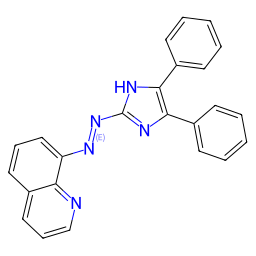 c1ccc(-c2nc(/N=N/c3cccc4cccnc34)[nH]c2-c2ccccc2)cc1